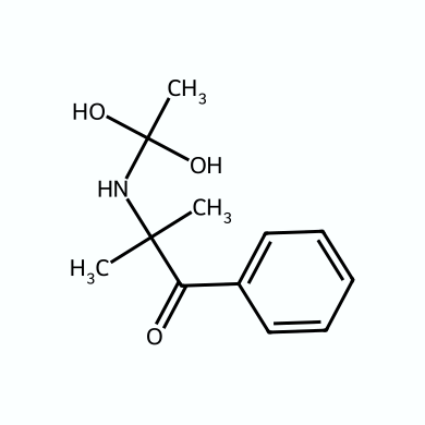 CC(O)(O)NC(C)(C)C(=O)c1ccccc1